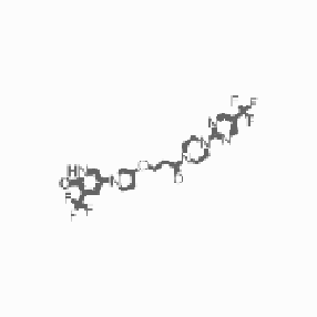 O=C(CCO[C@H]1CCN(c2c[nH]c(=O)c(C(F)(F)F)c2)C1)N1CCN(c2ncc(C(F)(F)F)cn2)CC1